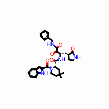 CC1(C)CCN(C(=O)c2cc3ccccc3[nH]2)[C@H](C(=O)N[C@@H](C[C@@H]2CCNC2=O)C(=O)C(=O)NCc2ccccc2)C1